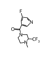 CN1CCN(C(=O)c2cncc(F)c2)CC1C(F)(F)F